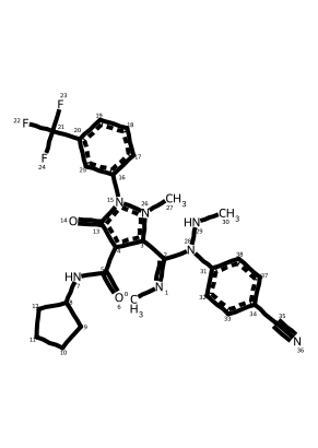 C/N=C(\c1c(C(=O)NC2CCCC2)c(=O)n(-c2cccc(C(F)(F)F)c2)n1C)N(NC)c1ccc(C#N)cc1